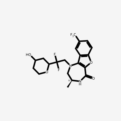 C[C@H]1CN(CC(F)(F)C2CC(O)CCO2)c2c(oc3ccc(C(F)(F)F)cc23)C(=O)N1